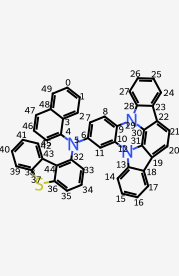 c1ccc2c(N(c3ccc4c(c3)n3c5ccccc5c5ccc6c7ccccc7n4c6c53)c3cccc4sc5ccccc5c34)cccc2c1